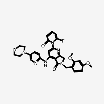 COc1ccc(CN2Cc3nc(-n4c(F)cccc4=O)cc(Nc4ccc(N5CCOCC5)cn4)c3C2=O)c(OC)c1